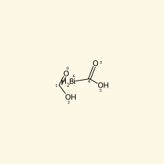 O=CO.O=[C](O)[BiH2]